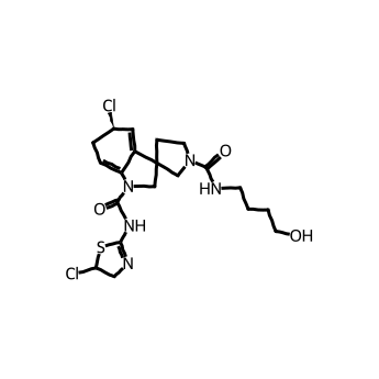 O=C(NCCCCO)N1CCC2(C1)CN(C(=O)NC1=NCC(Cl)S1)C1=CC[C@@H](Cl)C=C12